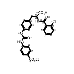 CCOC(=O)c1ccc(NC(=O)Oc2ccc(C[C@H](NC(=O)c3ccccc3Cl)C(=O)O)cc2)cc1